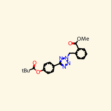 COC(=O)c1ccccc1Cn1nnc(-c2ccc(OC(=O)C(C)(C)C)cc2)n1